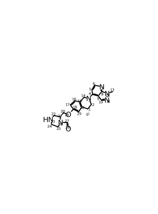 C[C@H]1CN(c2ccnc3c2cnn3C)Cc2ccc(OC[C@@H]3CNCCN3C=O)cc21